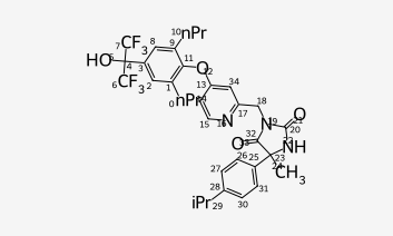 CCCc1cc(C(O)(C(F)(F)F)C(F)(F)F)cc(CCC)c1Oc1ccnc(CN2C(=O)NC(C)(c3ccc(C(C)C)cc3)C2=O)c1